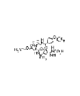 C[C@@H](NC(=O)[C@@H]1C[C@]2(COCCN)C[C@@H]2N1C(=O)CNC(=O)c1ccc(Oc2ccc(F)cc2)cc1)c1cc(C(=N)NC(=O)O)cs1